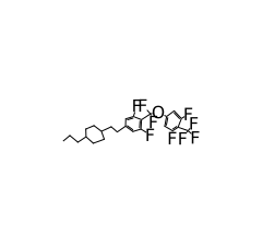 CCCC1CCC(CCc2cc(F)c(C(F)(F)Oc3cc(F)c(C(F)(F)F)c(F)c3)c(F)c2)CC1